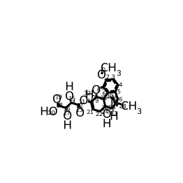 COc1ccc2c3c1O[C@@H]1C(OC(=O)[C@H](O)[C@@H](O)C(=O)O)=CC[C@]4(O)[C@H](C2)N(C)CC[C@@]314